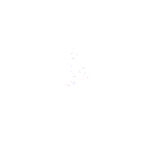 CS(=O)(=O)c1ccc(COc2ccc(Cl)cc2CN2CCN(C(=O)CNC(=O)C3CC34CCC(F)(F)CC4)CC2)cc1